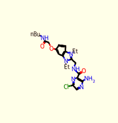 CCCCNC(=O)COc1ccc2c(c1)n(CC)c(CNC(=O)c1nc(Cl)cnc1N)[n+]2CC